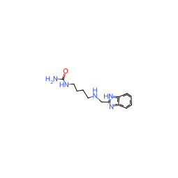 NC(=O)NCCCCNCc1nc2ccccc2[nH]1